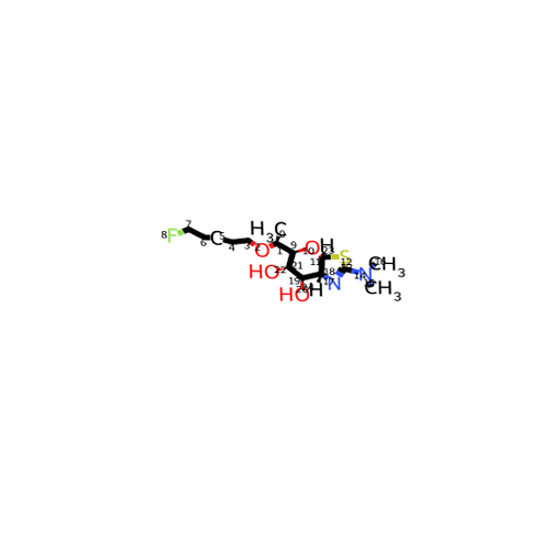 C[C@H](OCCCCCF)[C@H]1O[C@@H]2SC(N(C)C)=N[C@@H]2[C@@H](O)[C@@H]1O